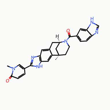 Cn1cc(-c2nc3cc4c(cc3[nH]2)[C@]2(C)CCN(C(=O)c3ccc5nc[nH]c5c3)[C@H](C4)C2)ccc1=O